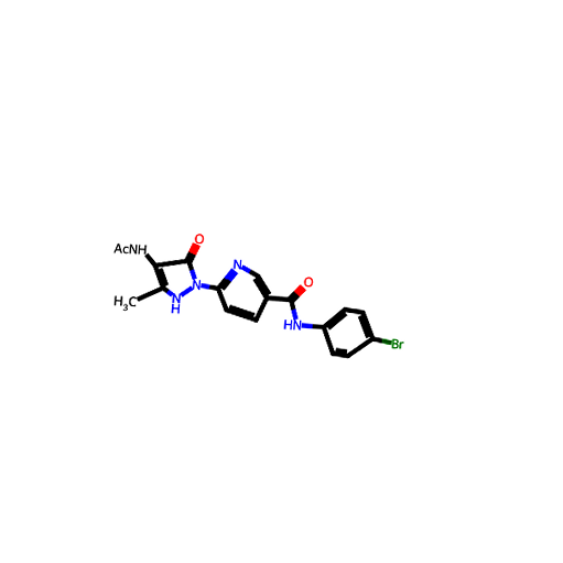 CC(=O)Nc1c(C)[nH]n(-c2ccc(C(=O)Nc3ccc(Br)cc3)cn2)c1=O